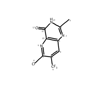 Cc1nc2cc(C(F)(F)F)c(Cl)nc2c(=O)[nH]1